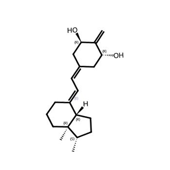 C=C1[C@H](O)CC(=C/C=C2\CCC[C@]3(C)[C@@H](C)CC[C@@H]23)C[C@H]1O